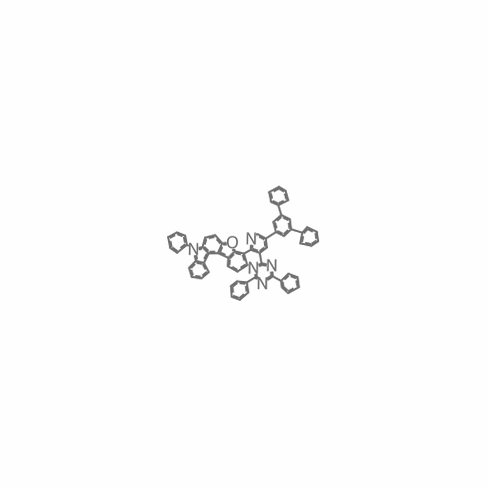 c1ccc(-c2cc(-c3ccccc3)cc(-c3cnc(-c4cccc5c4oc4ccc6c(c7ccccc7n6-c6ccccc6)c45)c(-c4nc(-c5ccccc5)nc(-c5ccccc5)n4)c3)c2)cc1